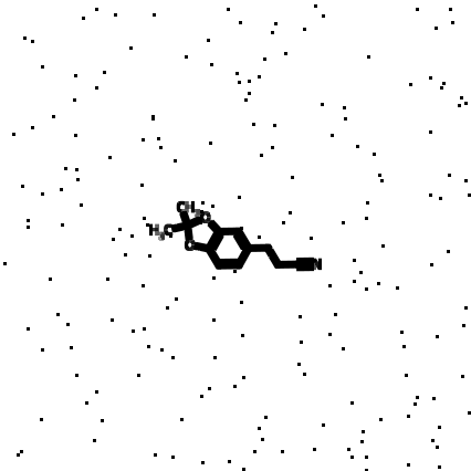 CC1(C)Oc2ccc(CCC#N)cc2O1